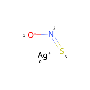 [Ag+].[O-]N=S